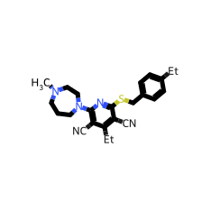 CCc1ccc(CSc2nc(N3CCCN(C)CC3)c(C#N)c(CC)c2C#N)cc1